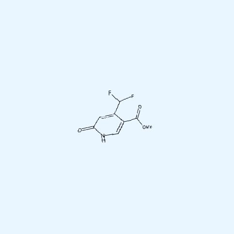 COC(=O)c1c[nH]c(=O)cc1C(F)F